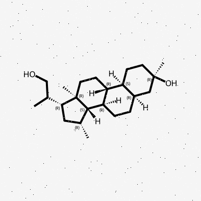 CC(CO)[C@H]1C[C@@H](C)[C@H]2[C@@H]3CC[C@@H]4C[C@](C)(O)CC[C@@H]4[C@H]3CC[C@@]21C